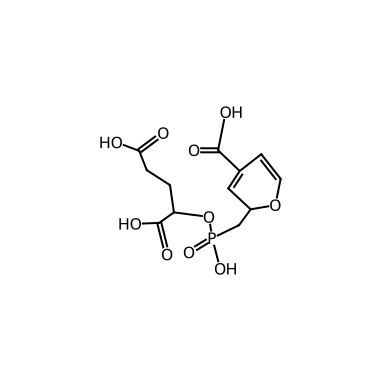 O=C(O)CCC(OP(=O)(O)CC1C=C(C(=O)O)C=CO1)C(=O)O